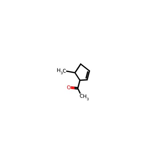 CC(=O)C1C=CCC1C